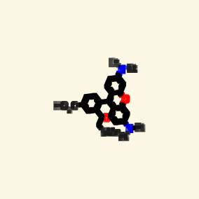 CCN(CC)c1ccc2c(-c3ccc(C(=O)O)cc3C(=O)CSC)c3ccc(=[N+](CC)CC)cc-3oc2c1